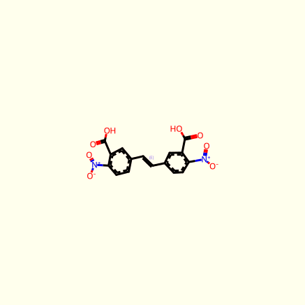 O=C(O)c1cc(/C=C/c2ccc([N+](=O)[O-])c(C(=O)O)c2)ccc1[N+](=O)[O-]